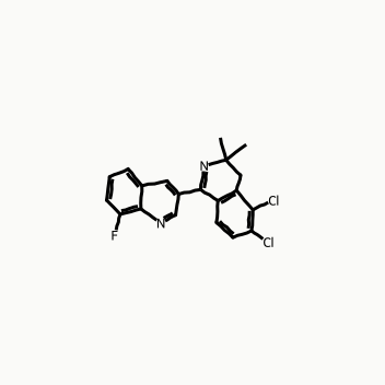 CC1(C)Cc2c(ccc(Cl)c2Cl)C(c2cnc3c(F)cccc3c2)=N1